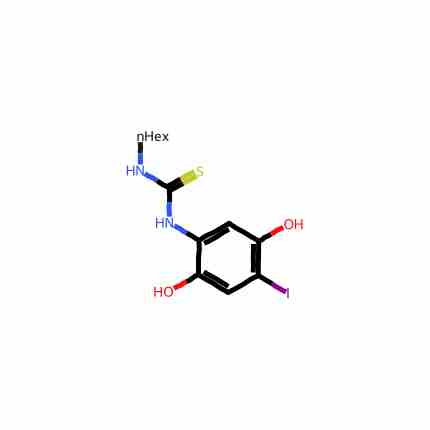 CCCCCCNC(=S)Nc1cc(O)c(I)cc1O